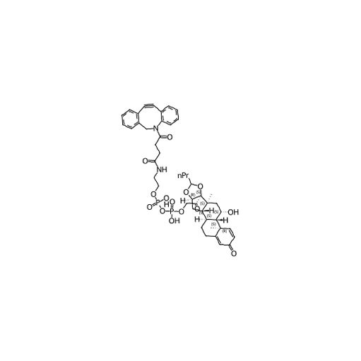 CCCC1O[C@@H]2C[C@H]3[C@@H]4CCC5=CC(=O)C=C[C@]5(C)[C@H]4[C@@H](O)C[C@]3(C)[C@]2(C(=O)COP(=O)(O)OP(=O)(O)OCCNC(=O)CCC(=O)N2Cc3ccccc3C#Cc3ccccc32)O1